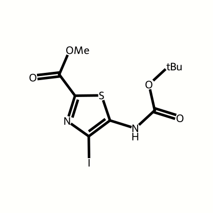 COC(=O)c1nc(I)c(NC(=O)OC(C)(C)C)s1